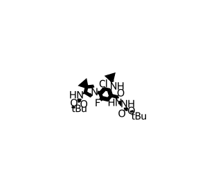 CC(C)(C)OC(=O)NNC(=O)c1cc(F)c(N2C[C@@H](NC(=O)OC(C)(C)C)C3(CC3)C2)c(Cl)c1NC1CC1